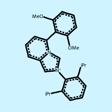 COc1cccc(OC)c1-c1cccc2c[n+](-c3c(C(C)C)cccc3C(C)C)cn12